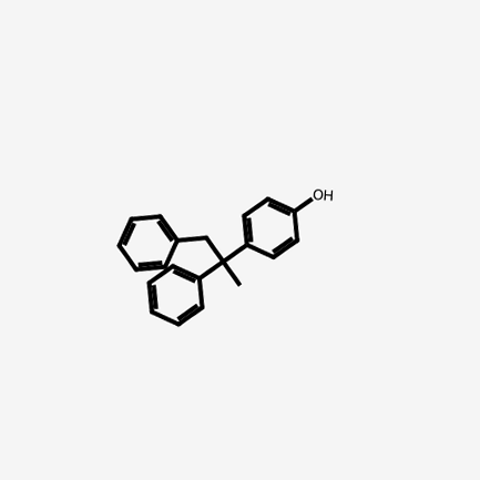 CC(Cc1ccccc1)(c1ccccc1)c1ccc(O)cc1